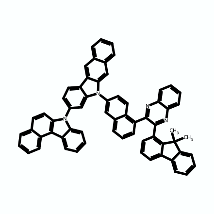 CC1(C)c2ccccc2-c2cccc(-c3nc4ccccc4nc3-c3cccc4cc(-n5c6cc(-n7c8ccccc8c8c9ccccc9ccc87)ccc6c6cc7ccccc7cc65)ccc34)c21